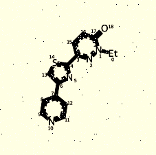 CCn1nc(-c2nc(-c3ccncc3)cs2)ccc1=O